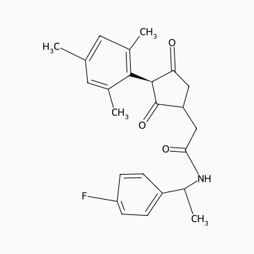 Cc1cc(C)c([C@H]2C(=O)CC(CC(=O)NC(C)c3ccc(F)cc3)C2=O)c(C)c1